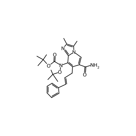 Cc1nc2c(N(OC(C)(C)C)C(=O)OC(C)(C)C)c(C/C=C/c3ccccc3)c(C(N)=O)cn2c1C